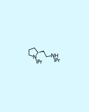 CC(C)NCC[C@@H]1CCCN1C(C)C